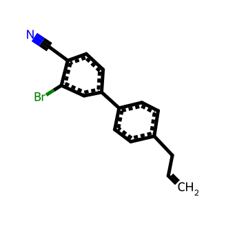 C=CCc1ccc(-c2ccc(C#N)c(Br)c2)cc1